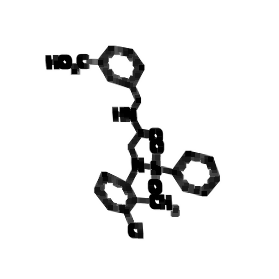 Cc1c(Cl)cccc1N(CC(=O)NCc1cccc(C(=O)O)c1)S(=O)(=O)c1ccccc1